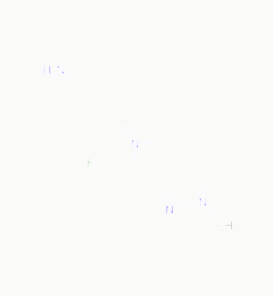 Cn1cc2c(n1)CN(c1ccc(N)c(F)c1F)C2